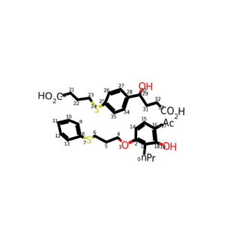 CCCc1c(OCCCSc2ccccc2)ccc(C(C)=O)c1O.O=C(O)CCCSc1ccc(C(O)CCC(=O)O)cc1